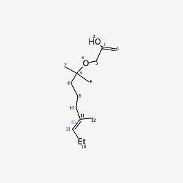 C=C(O)COC(C)(C)CCC/C(C)=C/CC